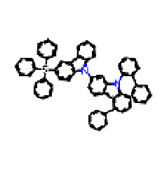 c1ccc(-c2ccccc2-n2c3cc(-n4c5ccccc5c5cc([Si](c6ccccc6)(c6ccccc6)c6ccccc6)ccc54)ccc3c3c(-c4ccccc4)cccc32)cc1